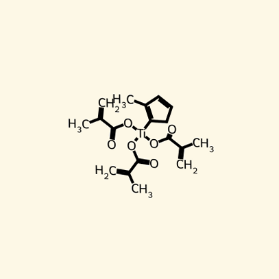 C=C(C)C(=O)[O][Ti]([O]C(=O)C(=C)C)([O]C(=O)C(=C)C)[C]1=C(C)C=CC1